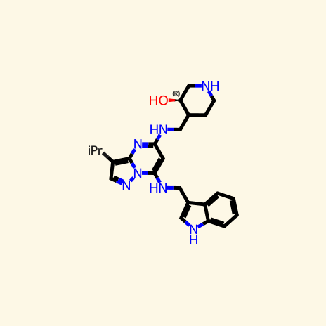 CC(C)c1cnn2c(NCc3c[nH]c4ccccc34)cc(NCC3CCNC[C@@H]3O)nc12